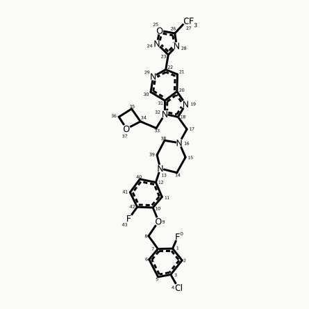 Fc1cc(Cl)ccc1COc1cc(N2CCN(Cc3nc4cc(-c5noc(C(F)(F)F)n5)ncc4n3CC3CCO3)CC2)ccc1F